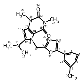 Cc1cccc(-c2nnc(Cn3c(N(C)C)nc4c3c(=O)n(C)c(=O)n4C)o2)c1